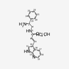 Cl.Cl.N[C@H](CNC(=O)C=Cc1c[nH]c2ncccc12)c1ccccc1